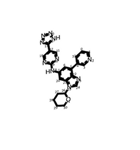 c1cncc(-c2cc(Nc3ncc(-c4nnn[nH]4)cn3)cc3c2ncn3C2CCCCO2)c1